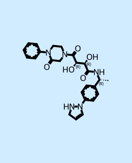 C[C@@H](NC(=O)[C@H](O)[C@@H](O)C(=O)N1CCN(c2ccccc2)C(=O)C1)c1ccc(N2C=CCN2)cc1